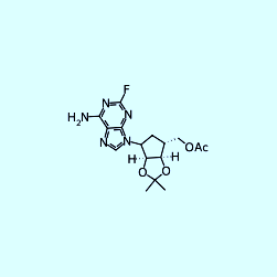 CC(=O)OC[C@H]1CC(n2cnc3c(N)nc(F)nc32)[C@@H]2OC(C)(C)O[C@H]12